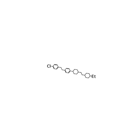 CCC1CCC(CCC2CCC(c3ccc(CCc4ccc(Cl)cc4)cc3)CC2)CC1